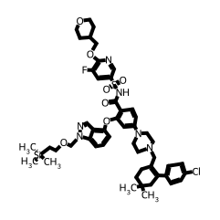 CC1(C)CCC(CN2CCN(c3ccc(C(=O)NS(=O)(=O)c4cnc(OCC5CCOCC5)c(F)c4)c(Oc4cccc5c4cnn5COCC[Si](C)(C)C)c3)CC2)=C(c2ccc(Cl)cc2)C1